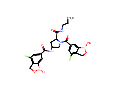 O=C(O)CCNC(=O)[C@@H]1CC(NC(=O)c2cc(F)c3c(c2)B(O)OC3)CN1C(=O)c1cc(F)c2c(c1)B(O)OC2